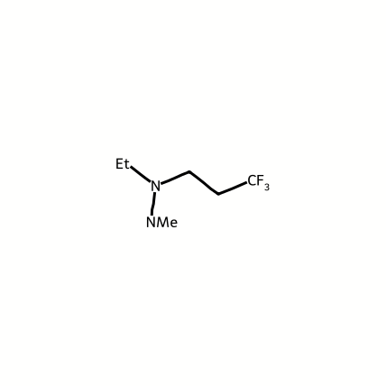 CCN(CCC(F)(F)F)NC